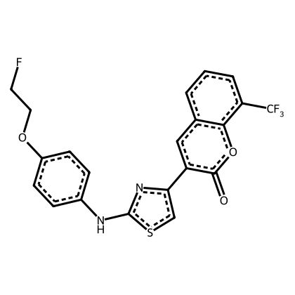 O=c1oc2c(C(F)(F)F)cccc2cc1-c1csc(Nc2ccc(OCCF)cc2)n1